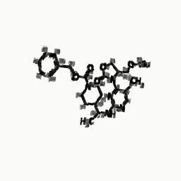 C[C@H](Nc1ncc(F)c(N2C(=O)OCC2[C@@H](C)OC(C)(C)C)n1)C1CCN(C(=O)OCc2ccccc2)CC1